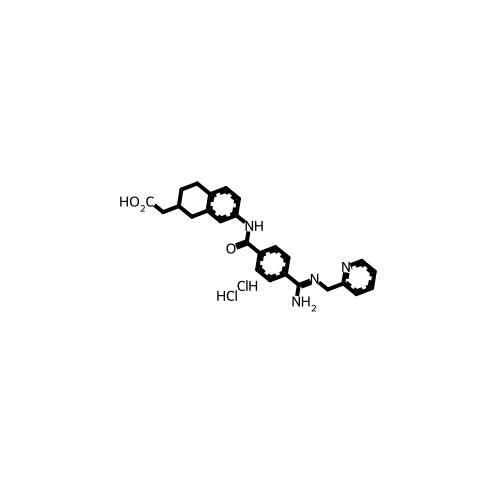 Cl.Cl.NC(=NCc1ccccn1)c1ccc(C(=O)Nc2ccc3c(c2)CC(CC(=O)O)CC3)cc1